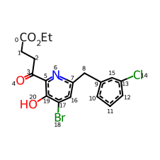 CCOC(=O)CCC(=O)c1nc(Cc2cccc(Cl)c2)cc(Br)c1O